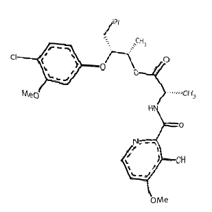 COc1cc(O[C@H](CC(C)C)[C@H](C)OC(=O)[C@H](C)NC(=O)c2nccc(OC)c2O)ccc1Cl